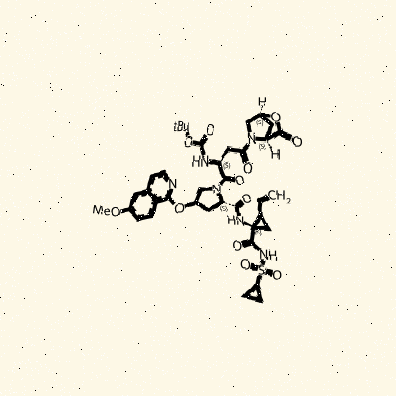 C=CC1C[C@]1(NC(=O)[C@@H]1CC(Oc2nccc3cc(OC)ccc23)CN1C(=O)[C@H](CC(=O)N1C[C@@H]2C[C@H]1C(=O)O2)NC(=O)OC(C)(C)C)C(=O)NS(=O)(=O)C1CC1